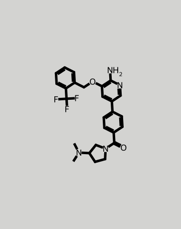 CN(C)C1CCN(C(=O)c2ccc(-c3cnc(N)c(OCc4ccccc4C(F)(F)F)c3)cc2)C1